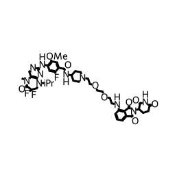 COc1cc(C(=O)NC2CCN(CCOCCOCCNc3cccc4c3C(=O)N(C3CCC(=O)NC3=O)C4=O)CC2)c(F)cc1Nc1ncc2c(n1)N(C(C)C)CC(F)(F)C(=O)N2C